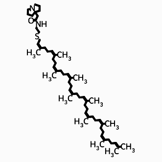 CC(C)=CCCC(C)=CCCC(C)=CCCC(C)=CCCC(C)=CCCC(C)=CCCC(C)=CCCC(C)=CCCC(C)=CCCC(C)=CCSCCNC(=O)CC12CCCN1CCC2